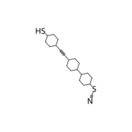 N#CSC1CCC(C2CCC(C#CC3CCC(S)CC3)CC2)CC1